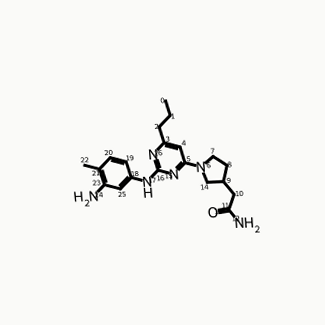 CCCc1cc(N2CCC(CC(N)=O)C2)nc(Nc2ccc(C)c(N)c2)n1